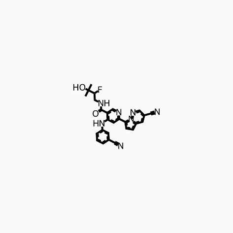 CC(C)(O)C(F)CNC(=O)c1cnc(-c2ccc3cc(C#N)cnn23)cc1Nc1cccc(C#N)c1